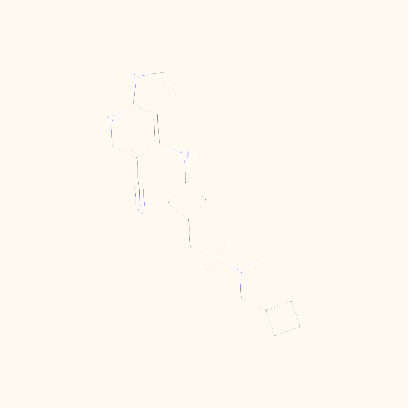 CN(CC1CCC1)S(=O)(=O)CC1CC(Nc2c(C#N)cnc3[nH]ccc23)C1